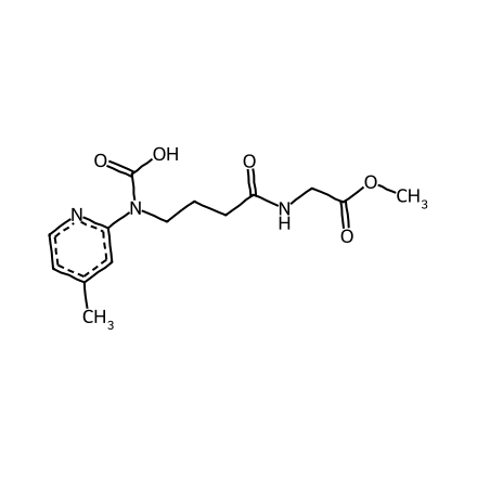 COC(=O)CNC(=O)CCCN(C(=O)O)c1cc(C)ccn1